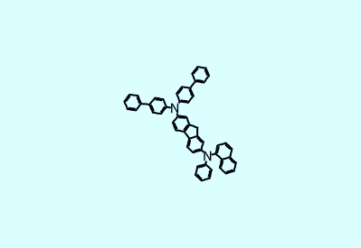 c1ccc(-c2ccc(N(c3ccc(-c4ccccc4)cc3)c3ccc4c(c3)Cc3cc(N(c5ccccc5)c5cccc6ccccc56)ccc3-4)cc2)cc1